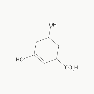 O=C(O)C1C=C(O)CC(O)C1